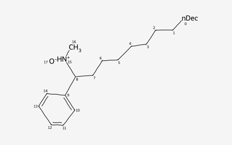 CCCCCCCCCCCCCCCCCC(c1ccccc1)[NH+](C)[O-]